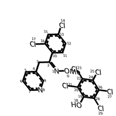 CON=C(Cc1cccnc1)c1ccc(Cl)cc1Cl.Oc1c(Cl)c(Cl)c(Cl)c(Cl)c1Cl